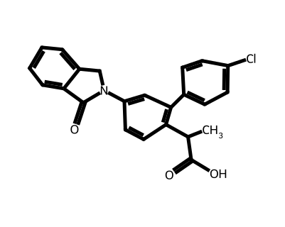 CC(C(=O)O)c1ccc(N2Cc3ccccc3C2=O)cc1-c1ccc(Cl)cc1